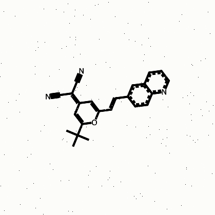 CC(C)(C)C1=CC(=C(C#N)C#N)C=C(/C=C/c2ccc3ncccc3c2)O1